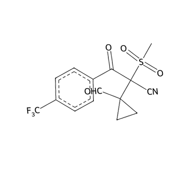 CS(=O)(=O)C(C#N)(C(=O)c1ccc(C(F)(F)F)cc1)C1(C=O)CC1